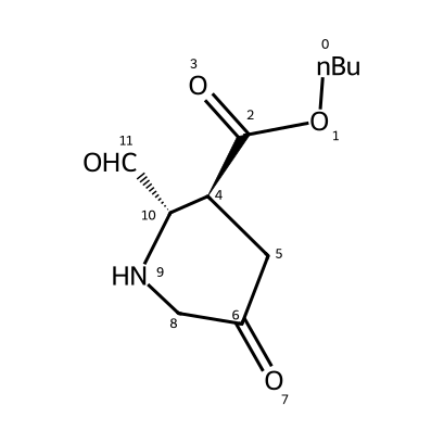 CCCCOC(=O)[C@H]1CC(=O)CN[C@@H]1C=O